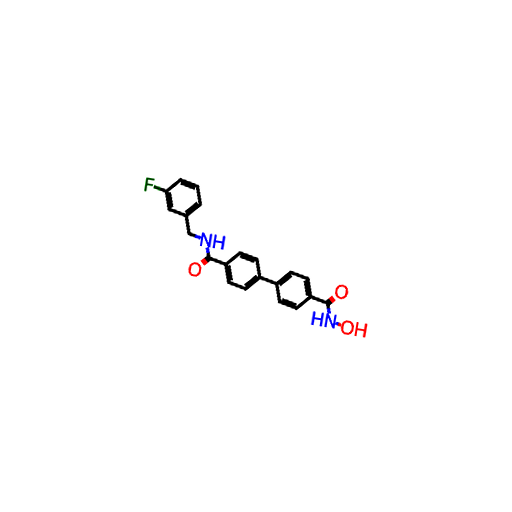 O=C(NO)c1ccc(-c2ccc(C(=O)NCc3cccc(F)c3)cc2)cc1